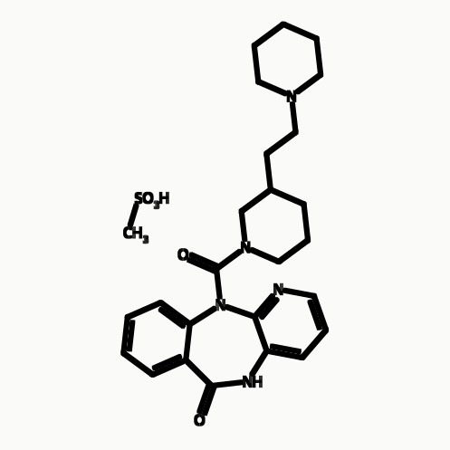 CS(=O)(=O)O.O=C1Nc2cccnc2N(C(=O)N2CCCC(CCN3CCCCC3)C2)c2ccccc21